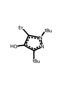 CCc1c(O)c(C(C)(C)C)nn1C(C)(C)C